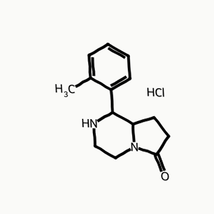 Cc1ccccc1C1NCCN2C(=O)CCC12.Cl